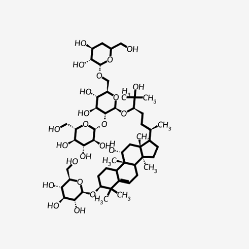 C[C@H](CC[C@@H](O[C@@H]1O[C@H](CO[C@H]2OC(CO)C[C@H](O)[C@H]2O)[C@@H](O)[C@H](O)[C@H]1O[C@H]1O[C@@H](CO)[C@H](O)[C@@H](O)[C@@H]1O)C(C)(C)O)C1CC[C@@]2(C)C3CC=C4C(CC[C@H](O[C@@H]5O[C@H](CO)[C@@H](O)[C@H](O)[C@H]5O)C4(C)C)[C@]3(C)[C@H](O)C[C@]12C